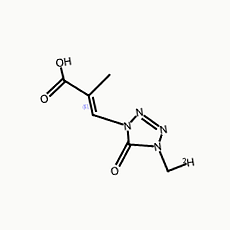 [2H]Cn1nnn(/C=C(\C)C(=O)O)c1=O